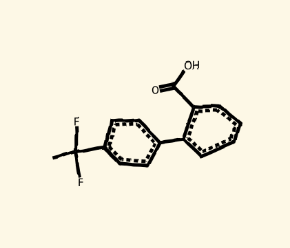 CC(F)(F)c1ccc(-c2ccccc2C(=O)O)cc1